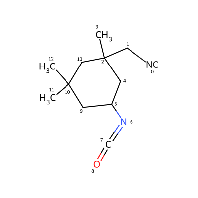 [C-]#[N+]CC1(C)CC(N=C=O)CC(C)(C)C1